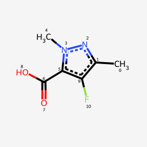 Cc1nn(C)c(C(=O)O)c1F